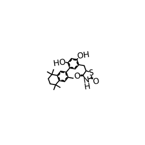 Cc1cc2c(cc1-c1cc(CC3SC(=O)NC3=O)c(O)cc1O)C(C)(C)CCC2(C)C